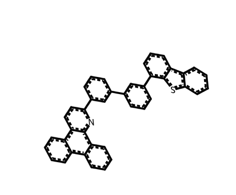 c1cc(-c2cccc(-c3cccc4c3sc3ccccc34)c2)cc(-c2ccc3c4ccccc4c4ccccc4c3n2)c1